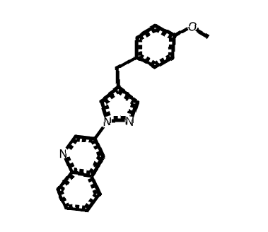 COc1ccc(Cc2cnn(-c3cnc4ccccc4c3)c2)cc1